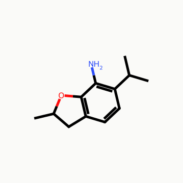 CC1Cc2ccc(C(C)C)c(N)c2O1